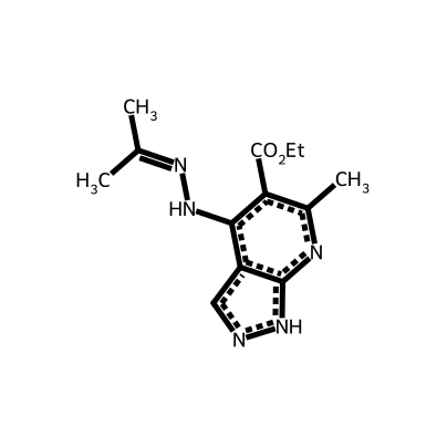 CCOC(=O)c1c(C)nc2[nH]ncc2c1NN=C(C)C